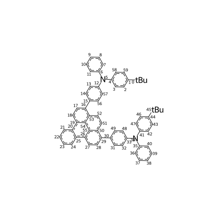 CC(C)(C)c1ccc(N(c2ccccc2)c2ccc(-c3ccc4c5ccccc5c5ccc(-c6ccc(N(c7ccccc7)c7ccc(C(C)(C)C)cc7)cc6)c6ccc3c4c65)cc2)cc1